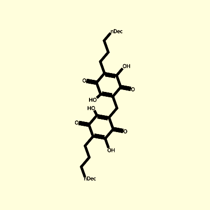 CCCCCCCCCCCCCC1=C(O)C(=O)C(CC2=C(O)C(=O)C(CCCCCCCCCCCCC)=C(O)C2=O)=C(O)C1=O